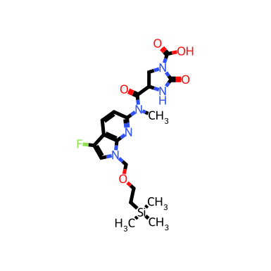 CN(C(=O)C1CN(C(=O)O)C(=O)N1)c1ccc2c(F)cn(COCC[Si](C)(C)C)c2n1